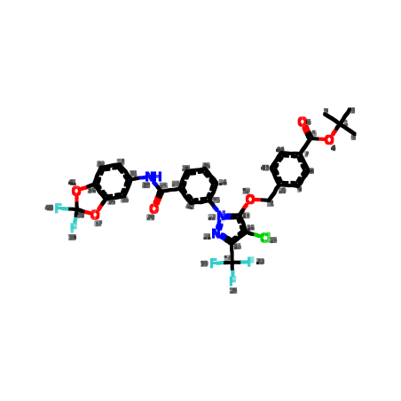 CC(C)(C)OC(=O)c1ccc(COc2c(Cl)c(C(F)(F)F)nn2-c2cccc(C(=O)Nc3ccc4c(c3)OC(F)(F)O4)c2)cc1